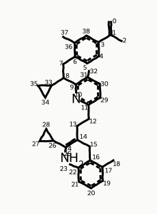 C=C(C)c1ccc(CC(c2nc(CC/C(Cc3c(C)cccc3C)=C(/N)C3CC3)ccc2C)C2CC2)c(C)c1